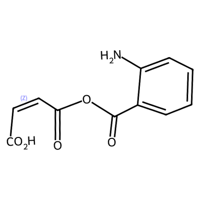 Nc1ccccc1C(=O)OC(=O)/C=C\C(=O)O